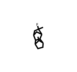 CC1C2CCC1C1C2C2CC1C(C)(F)C2